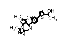 Cc1sc2c(c1C)C(c1ccc(-c3ccc(C(C)O)s3)cc1)=NCc1nnc(C)n1-2